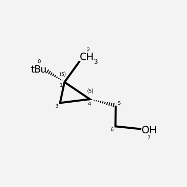 CC(C)(C)[C@@]1(C)C[C@H]1CCO